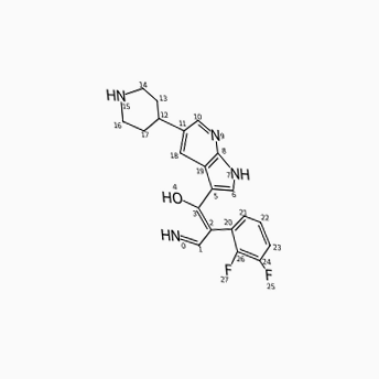 N=C/C(=C(\O)c1c[nH]c2ncc(C3CCNCC3)cc12)c1cccc(F)c1F